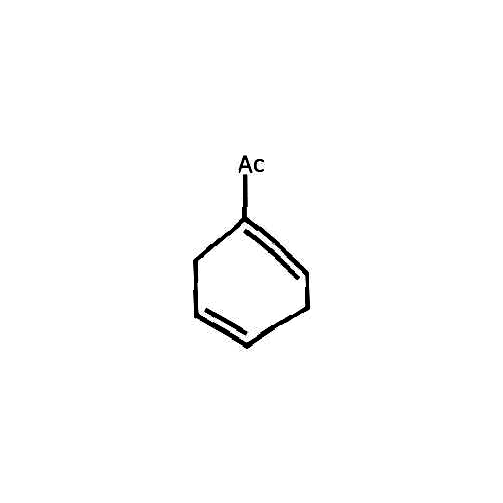 CC(=O)C1=CCC=CC1